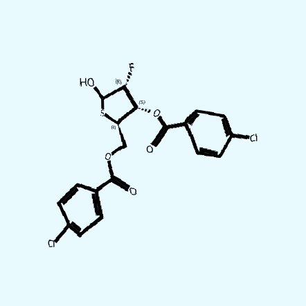 O=C(OC[C@H]1SC(O)[C@H](F)[C@@H]1OC(=O)c1ccc(Cl)cc1)c1ccc(Cl)cc1